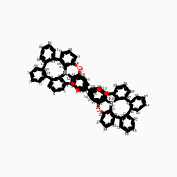 c1ccc(-c2cccc3c2B2c4ccc(-c5ccc6c(c5)Oc5cccc7c5B6c5c(-c6ccccc6)cccc5-c5ccccc5-c5ccccc5-7)cc4Oc4cccc(c42)-c2ccccc2-c2ccccc2-3)cc1